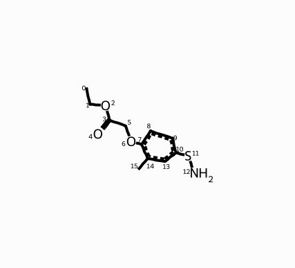 CCOC(=O)COc1ccc(SN)cc1C